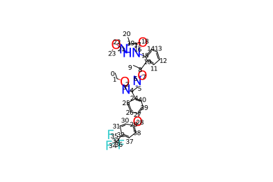 CCON=C(C=NOC(C)c1ccccc1NC(=O)C(C)=NOC)c1ccc(Oc2ccc(C(F)(F)F)cc2)cc1